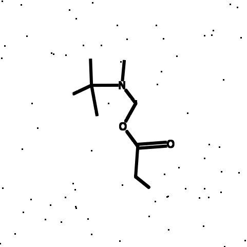 CCC(=O)OCN(C)C(C)(C)C